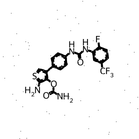 NC(=O)Oc1c(-c2ccc(NC(=O)Nc3cc(C(F)(F)F)ccc3F)cc2)csc1N